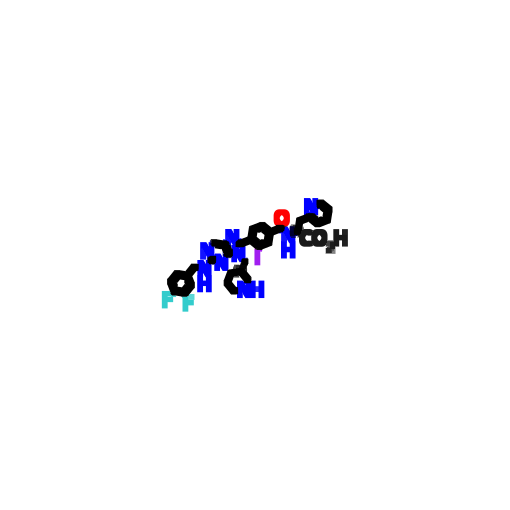 O=C(N[C@H](Cc1ccccn1)C(=O)O)c1ccc(-c2nc3cnc(NCc4ccc(F)c(F)c4)nc3n2C[C@@H]2CCCNC2)c(I)c1